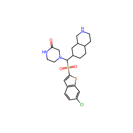 O=C1CN(C(C2CCC3CCNCC3C2)S(=O)(=O)c2cc3ccc(Cl)cc3s2)CCN1